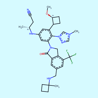 CO[C@H]1CCC1c1cc(N[C@H](C)CC#N)cc(N2Cc3c(cc(CNC4(C)CCC4)cc3C(F)(F)F)C2=O)c1-[n+]1cn(C)cn1